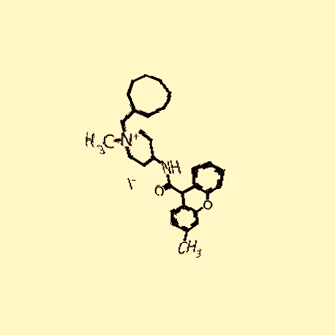 Cc1ccc2c(c1)Oc1ccccc1C2C(=O)NC1CC[N+](C)(CC2CCCCCCC2)CC1.[I-]